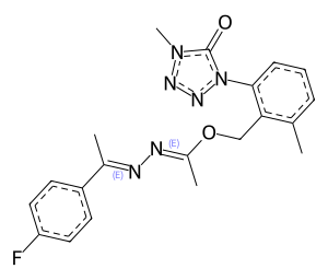 C/C(=N\N=C(/C)c1ccc(F)cc1)OCc1c(C)cccc1-n1nnn(C)c1=O